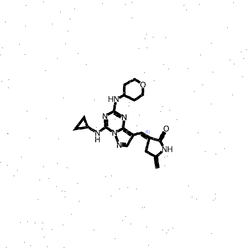 C=C1C/C(=C\c2cnn3c(NC4CC4)nc(NC4CCOCC4)nc23)C(=O)N1